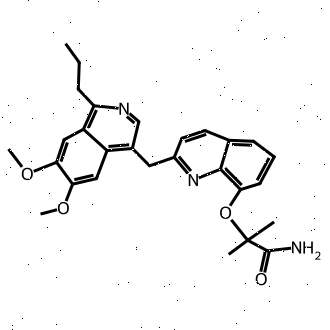 CCCc1ncc(Cc2ccc3cccc(OC(C)(C)C(N)=O)c3n2)c2cc(OC)c(OC)cc12